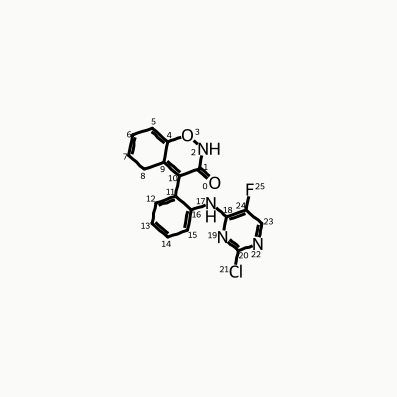 O=C1NOC2=CC=CCC2=C1c1ccccc1Nc1nc(Cl)ncc1F